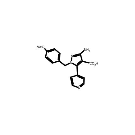 COc1ccc(Cn2nc(N)c(C(=O)O)c2-c2ccncc2)cc1